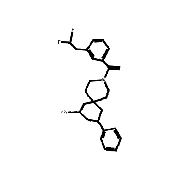 C=C(c1cccc(CC(F)F)c1)N1CCC2(CC1)CC(CCC)CC(c1ccccc1)C2